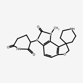 Cn1c(=O)n(C2CCC(=O)NC2=O)c2ccc3c(c21)C1(CCNCC1)CO3